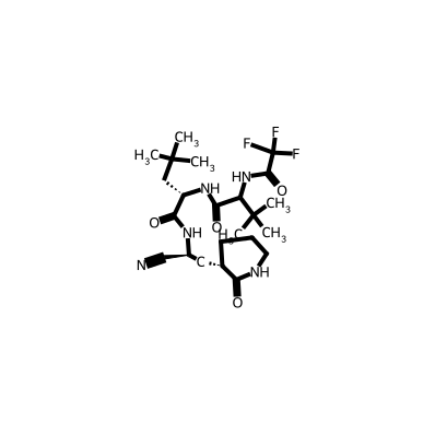 CC(C)(C)C[C@H](NC(=O)C(NC(=O)C(F)(F)F)C(C)(C)C)C(=O)N[C@H](C#N)C[C@@H]1CCCNC1=O